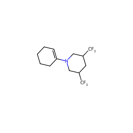 FC(F)(F)C1CC(C(F)(F)F)CN(C2=CCCCC2)C1